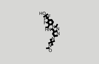 CC(=O)N1CC2(C1)CN(c1cnc3nc(C)nc(NC(C)c4cccc(C(F)(F)C(C)(C)O)c4F)c3c1)C2